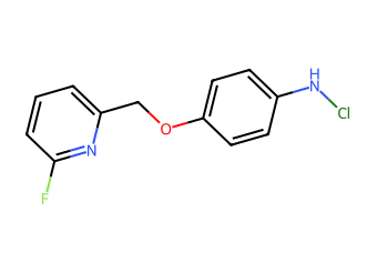 Fc1cccc(COc2ccc(NCl)cc2)n1